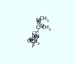 COc1cc(/C=C2\CCCN3C2=NO[C@]3(CN(C)C=O)c2ccc(F)cc2)ccc1-n1cnc(C)c1